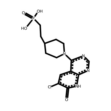 O=c1[nH]c2ncnc(N3CCC(CCP(=O)(O)O)CC3)c2cc1Cl